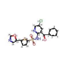 O=C(c1ccccc1)c1cc(Cl)cnc1NS(=O)(=O)c1ccc(-c2cnco2)s1